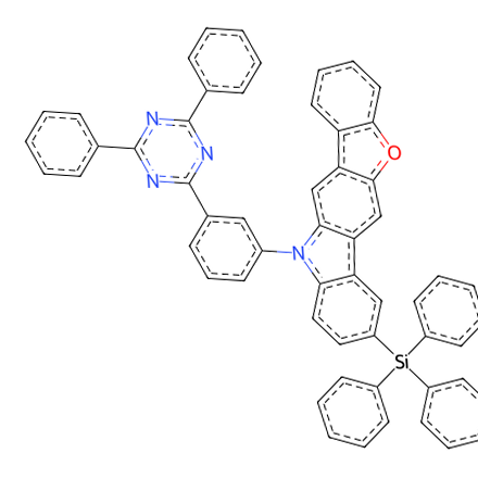 c1ccc(-c2nc(-c3ccccc3)nc(-c3cccc(-n4c5ccc([Si](c6ccccc6)(c6ccccc6)c6ccccc6)cc5c5cc6oc7ccccc7c6cc54)c3)n2)cc1